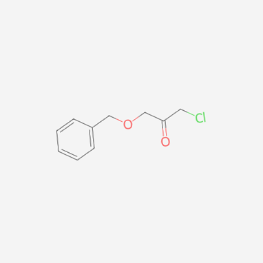 O=C(CCl)COCc1ccccc1